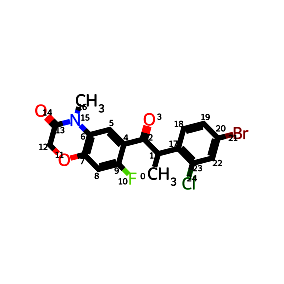 CC(C(=O)c1cc2c(cc1F)OCC(=O)N2C)c1ccc(Br)cc1Cl